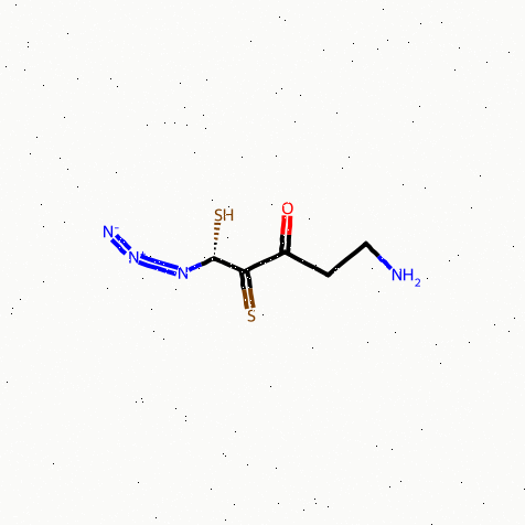 [N-]=[N+]=N[C@H](S)C(=S)C(=O)CCN